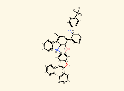 Cc1cc(-c2ccccc2Nc2ccc(C(C)(C)C)cc2)c2c3c1c1ccccc1n3-c1cc3c(-c4ccccc4)c(-c4ccccc4)oc3cc1B2